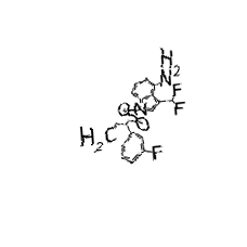 C=CC(c1cccc(F)c1)S(=O)(=O)n1cc(C(F)F)c2c(N)cccc21